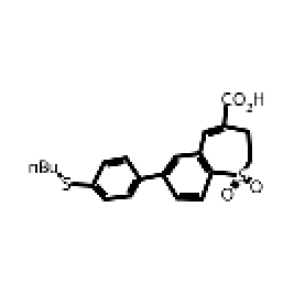 CCCCSc1ccc(-c2ccc3c(c2)C=C(C(=O)O)CCS3(=O)=O)cc1